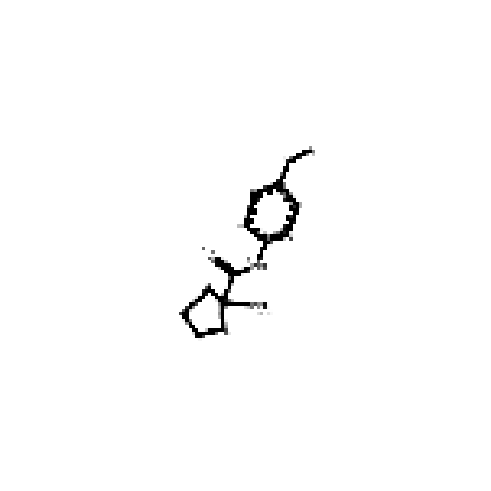 [CH2]Cc1ccc(NC(=O)C2(N)CCCC2)cc1